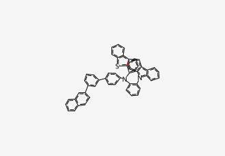 c1cc(-c2ccc(N(c3ccccc3-n3c4ccccc4c4ccccc43)c3cccc4c3sc3ccccc34)cc2)cc(-c2ccc3ccccc3c2)c1